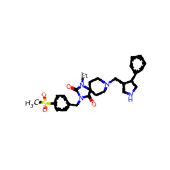 CCN1C(=O)N(Cc2ccc(S(C)(=O)=O)cc2)C(=O)C12CCN(CC1CNCC1c1ccccc1)CC2